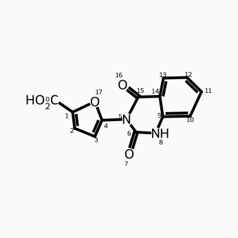 O=C(O)c1ccc(-n2c(=O)[nH]c3ccccc3c2=O)o1